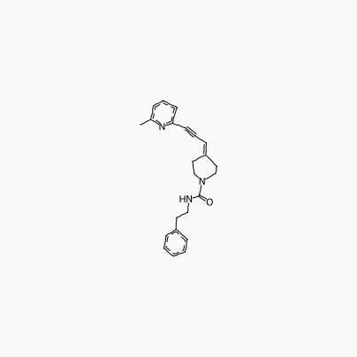 Cc1cccc(C#CC=C2CCN(C(=O)NCCc3ccccc3)CC2)n1